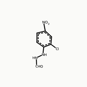 O=CNNc1ccc([N+](=O)[O-])cc1Cl